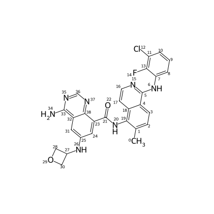 Cc1ccc2c(Nc3cccc(Cl)c3F)nccc2c1NC(=O)c1cc(NC2COC2)cc2c(N)ncnc12